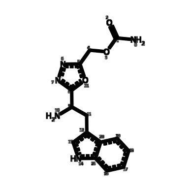 NC(=O)OCc1nnc(C(N)Cc2c[nH]c3ccccc23)o1